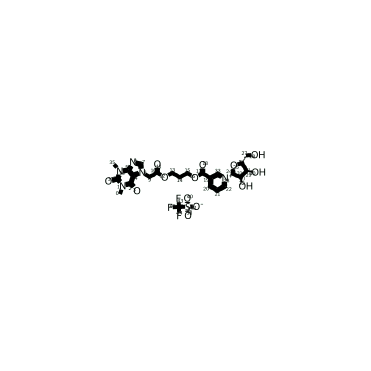 Cn1c(=O)c2c(ncn2CC(=O)OCCCOC(=O)c2ccc[n+]([C@@H]3O[C@H](CO)[C@@H](O)[C@H]3O)c2)n(C)c1=O.O=S(=O)([O-])C(F)(F)F